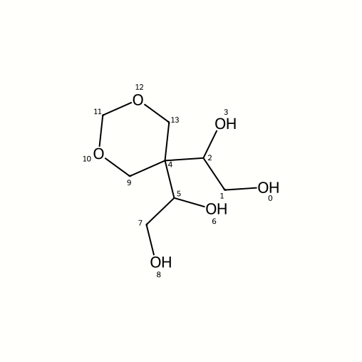 OCC(O)C1(C(O)CO)COCOC1